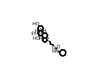 CC[C@H]1[C@@H](O)[C@@H]2[C@H](CC[C@]3(C)[C@@H](CCCOC(=O)NC4CCCCCC4)CC[C@@H]23)[C@@]2(C)CC[C@@H](O)C[C@@H]12